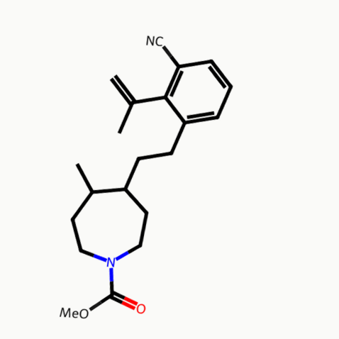 C=C(C)c1c(C#N)cccc1CCC1CCN(C(=O)OC)CCC1C